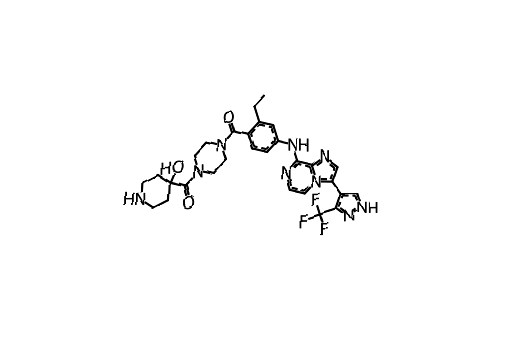 CCc1cc(Nc2nccn3c(-c4c[nH]nc4C(F)(F)F)cnc23)ccc1C(=O)N1CCN(C(=O)C2(O)CCNCC2)CC1